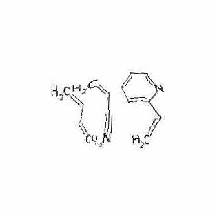 C=CC#N.C=CC=C.C=Cc1ccccn1